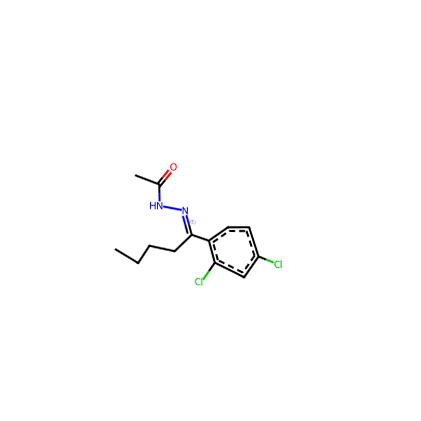 CCCC/C(=N\NC(C)=O)c1ccc(Cl)cc1Cl